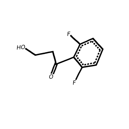 O=C(CCO)c1c(F)cccc1F